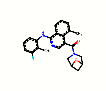 Cc1c(F)cccc1Nc1ncc(C(=O)N2CC3CC(C2)O3)c2c(C)cccc12